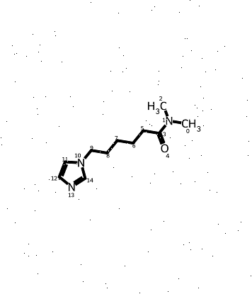 CN(C)C(=O)CCCCCn1c[c]nc1